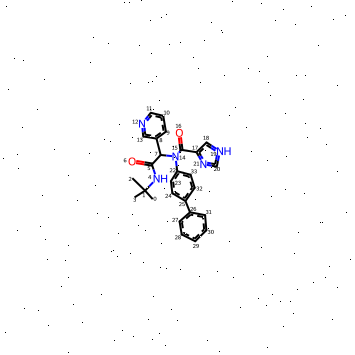 CC(C)(C)NC(=O)C(c1cccnc1)N(C(=O)c1c[nH]cn1)c1ccc(-c2ccccc2)cc1